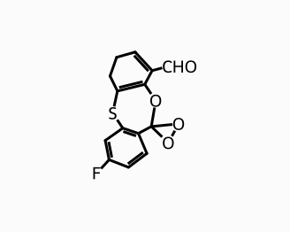 O=CC1=CCCC2=C1OC1(OO1)c1ccc(F)cc1S2